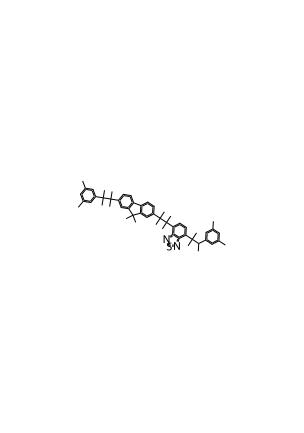 Cc1cc(C)cc(C(C)C(C)(C)c2ccc(C(C)(C)C(C)(C)c3ccc4c(c3)C(C)(C)c3cc(C(C)(C)C(C)(C)c5cc(C)cc(C)c5)ccc3-4)c3nsnc23)c1